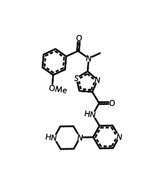 COc1cccc(C(=O)N(C)c2nc(C(=O)Nc3cnccc3N3CCNCC3)cs2)c1